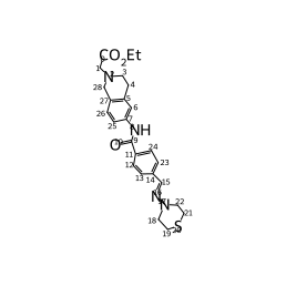 CCOC(=O)CN1CCc2cc(NC(=O)c3ccc(/C=N/N4CCSCC4)cc3)ccc2C1